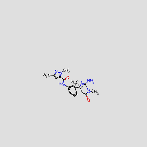 Cc1cc(C(=O)Nc2cccc([C@]3(C)CC(=O)N(C)C(N)=N3)c2)n(C)n1